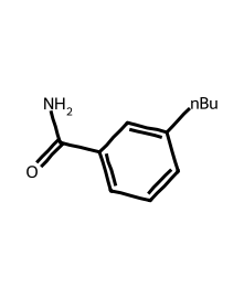 CCCCc1cccc(C(N)=O)c1